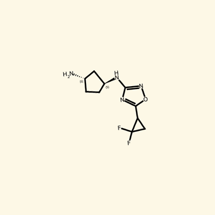 N[C@H]1CC[C@H](Nc2noc(C3CC3(F)F)n2)C1